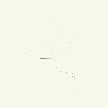 COCC(CC=O)(CC=O)COC